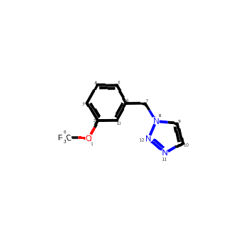 FC(F)(F)Oc1cccc(Cn2ccnn2)c1